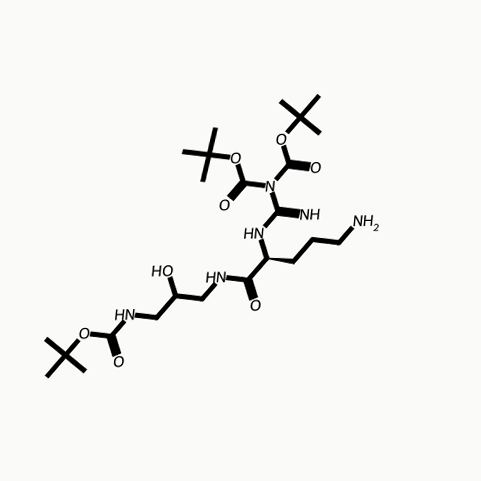 CC(C)(C)OC(=O)NCC(O)CNC(=O)[C@H](CCCN)NC(=N)N(C(=O)OC(C)(C)C)C(=O)OC(C)(C)C